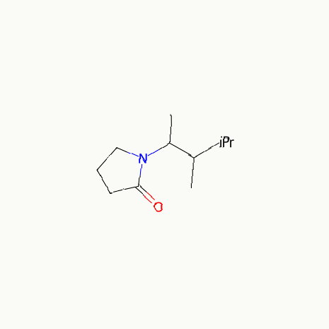 CC(C)C(C)C(C)N1CCCC1=O